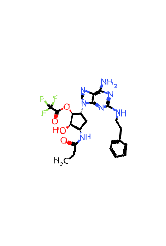 CCC(=O)N[C@H]1C[C@@H](n2cnc3c(N)nc(NCCc4ccccc4)nc32)[C@H](OC(=O)C(F)(F)F)[C@@H]1O